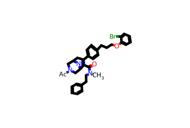 CC(=O)N1CC2CC(c3ccc(CCCOc4ccccc4Br)cc3)=C(C(=O)N(C)CCc3ccccc3)C(C1)N2